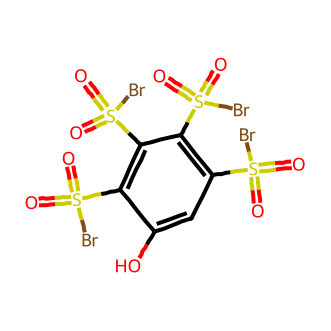 O=S(=O)(Br)c1cc(O)c(S(=O)(=O)Br)c(S(=O)(=O)Br)c1S(=O)(=O)Br